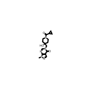 Cn1ncc2c(=O)n(CC3(O)CCN(C(=O)C4CC4)CC3)cnc21